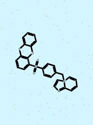 O=S(=O)(c1ccc(C[N+]23C=CC=CC2=NC=C3)cc1)c1cccc2c1Oc1ccccc1S2